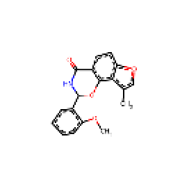 COc1ccccc1C1NC(=O)c2ccc3occ(C)c3c2O1